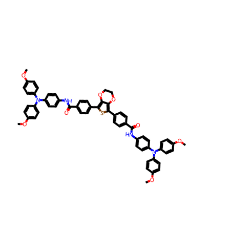 COc1ccc(N(c2ccc(NC(=O)c3ccc(-c4sc(-c5ccc(C(=O)Nc6ccc(N(c7ccc(OC)cc7)c7ccc(OC)cc7)cc6)cc5)c5c4OCCO5)cc3)cc2)c2ccc(OC)cc2)cc1